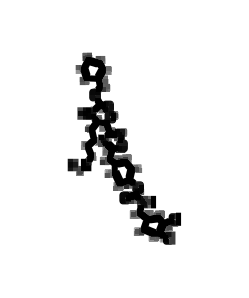 NCCCCC(NC(=O)OCc1ccccc1)C(=O)c1noc(Cc2ccc(OC(=O)NCc3ccc(Cl)c(Cl)c3)cc2)n1